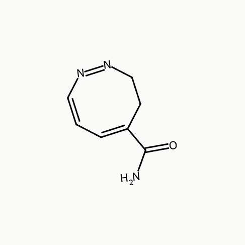 NC(=O)C1=CC=CN=NCC1